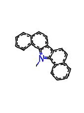 Cn1c2c3ccccc3ccc2c2ccc3ccccc3c21